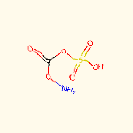 NOC(=O)OS(=O)(=O)O